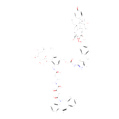 C[C@]12C=CC(=O)C=C1CC[C@@H]1[C@@H]2[C@@H](O)C[C@@]2(C)[C@H]1C[C@H]1O[C@@H](c3ccc(Cc4cnc(NC(=O)OCc5ccc(O[C@@H]6O[C@H](C(=O)O)[C@@H](O)[C@H](O)[C@H]6O)c(NC(=O)CCNC(=O)C(=O)CC(=O)N6Cc7ccccc7C#Cc7ccccc76)c5)s4)cc3)O[C@]12C(=O)CO